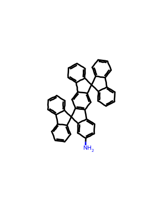 Nc1ccc2c(c1)C1(c3ccccc3-c3ccccc31)c1cc3c(cc1-2)C1(c2ccccc2-c2ccccc21)c1ccccc1-3